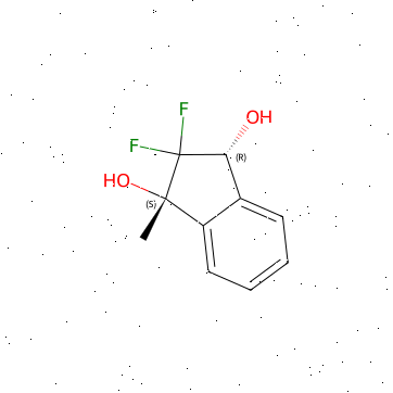 C[C@]1(O)c2ccccc2[C@@H](O)C1(F)F